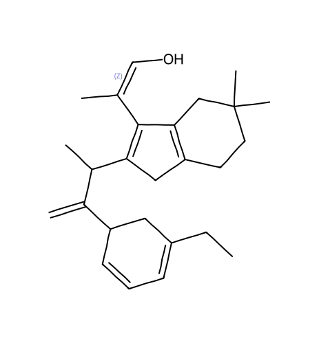 C=C(C1C=CC=C(CC)C1)C(C)C1=C(/C(C)=C\O)C2=C(CCC(C)(C)C2)C1